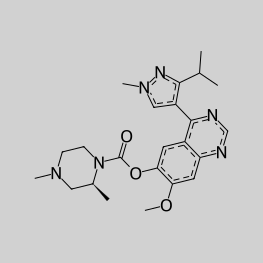 COc1cc2ncnc(-c3cn(C)nc3C(C)C)c2cc1OC(=O)N1CCN(C)C[C@@H]1C